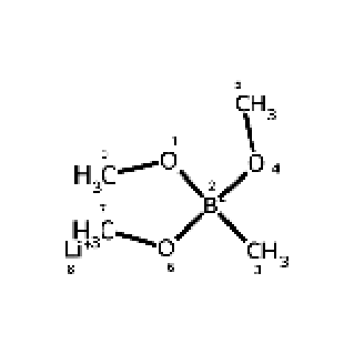 CO[B-](C)(OC)OC.[Li+]